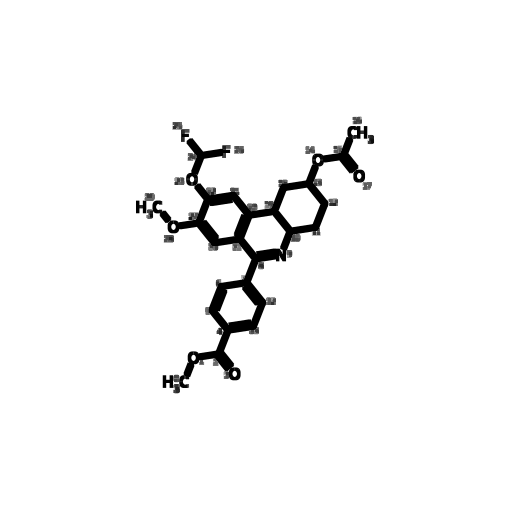 COC(=O)c1ccc(C2=NC3CCC(OC(C)=O)CC3c3cc(OC(F)F)c(OC)cc32)cc1